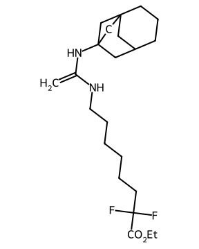 C=C(NCCCCCCC(F)(F)C(=O)OCC)NC12CC3CCCC(C3)(C1)C2